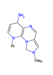 CON1C=C2C=NC3=C(N2C1)N(C(C)C)C=CC3N